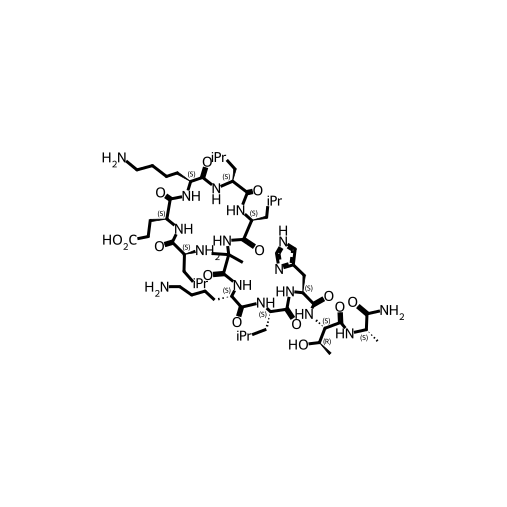 CC(C)C[C@H](NC(=O)[C@H](CCCCN)NC(=O)[C@H](CCC(=O)O)NC(=O)[C@@H](N)CC(C)C)C(=O)N[C@@H](CC(C)C)C(=O)NC(C)(C)C(=O)N[C@@H](CCCCN)C(=O)N[C@@H](CC(C)C)C(=O)N[C@@H](Cc1c[nH]cn1)C(=O)N[C@H](C(=O)N[C@@H](C)C(N)=O)[C@@H](C)O